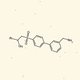 CC(C)C(O)CS(=O)(=O)c1ccc(-c2cccc(CN)c2)cc1